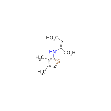 Cc1csc(N/C(=C\C(=O)O)C(=O)O)c1C